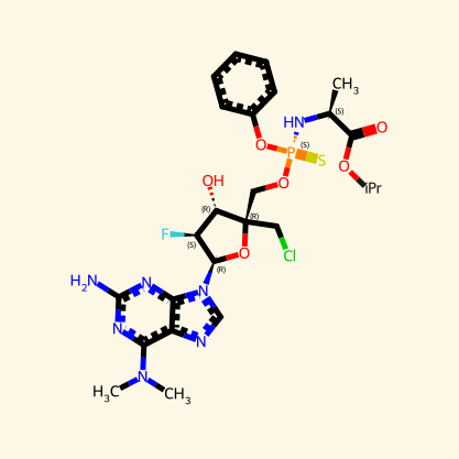 CC(C)OC(=O)[C@H](C)N[P@](=S)(OC[C@@]1(CCl)O[C@@H](n2cnc3c(N(C)C)nc(N)nc32)[C@@H](F)[C@@H]1O)Oc1ccccc1